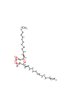 CCCCCCCCCCC/C=C/C(OC(/C=C/CCCCCCCCCCC)C1CO1)C1CO1